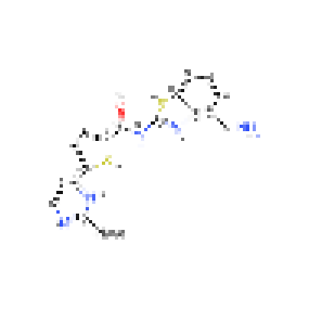 CNc1nccc(-c2ccc(C(=O)Nc3nc4c(CN)cccc4s3)s2)n1